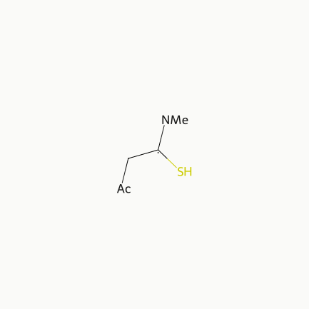 CN[C](S)CC(C)=O